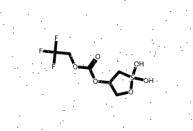 O=C(OCC(F)(F)F)OC1COS(O)(O)C1